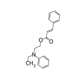 CCN(CCOC(=O)/C=C/c1ccccc1)c1ccccc1